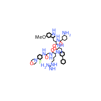 COc1ccc2[nH]cc(CC(NC(=O)C3CCCC(N)C3)C(=O)NC(Cc3ccc(-c4ccccc4)cc3)C(=O)NC(CCCCNC(=N)N)C(=O)NCC(=O)Nc3ccc(N4CCOCC4)c(F)c3)c2c1